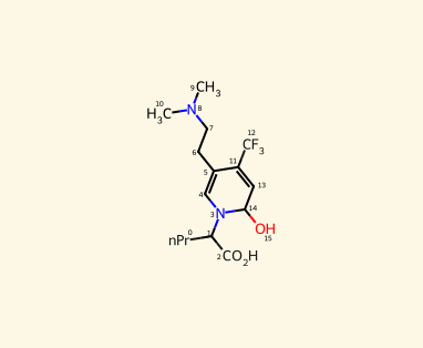 CCCC(C(=O)O)N1C=C(CCN(C)C)C(C(F)(F)F)=CC1O